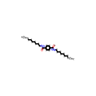 CCCCCCCCCCCCCCCCCNC(=O)c1ccc(C(=O)NCCCCCCCCCCCCCCCCC)cc1